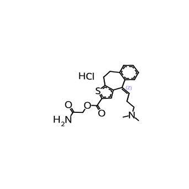 CN(C)CC/C=C1/c2ccccc2CCc2sc(C(=O)OCC(N)=O)cc21.Cl